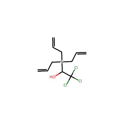 C=CC[Si](CC=C)(CC=C)C(O)C(Cl)(Cl)Cl